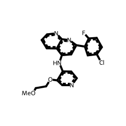 COCCOc1cnccc1Nc1cc(-c2cc(Cl)ccc2F)nc2ncccc12